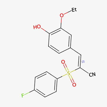 CCOc1cc(/C=C(/C#N)S(=O)(=O)c2ccc(F)cc2)ccc1O